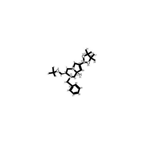 CC(C)(C)OC[C@H]1CN2CC(B3OC(C)(C)C(C)(C)O3)=C[C@H]2CN1Cc1ccccc1